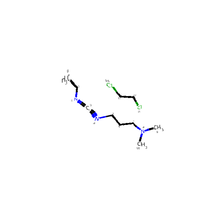 CCN=C=NCCCN(C)C.ClCCCl